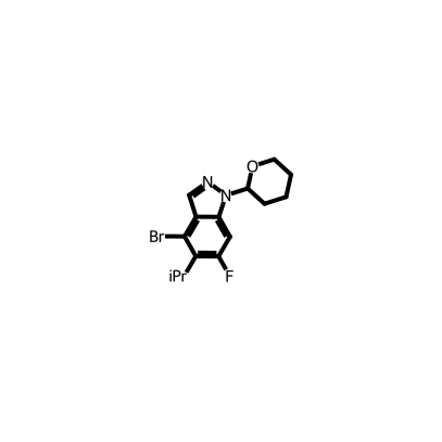 CC(C)c1c(F)cc2c(cnn2C2CCCCO2)c1Br